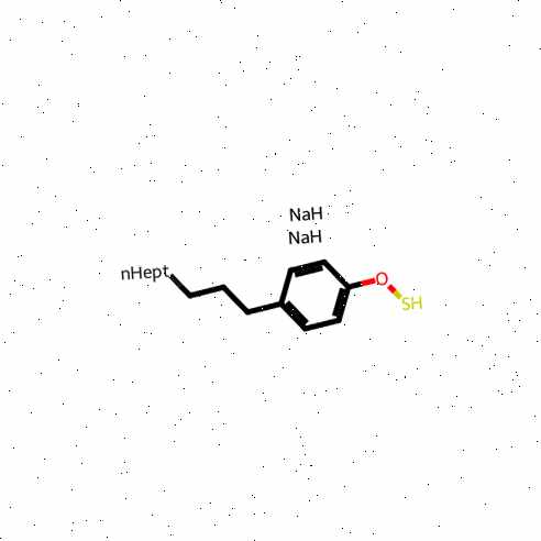 CCCCCCCCCCc1ccc(OS)cc1.[NaH].[NaH]